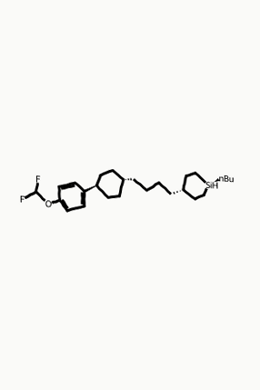 CCCC[Si@H]1CC[C@H](CCCC[C@H]2CC[C@H](c3ccc(OC(F)F)cc3)CC2)CC1